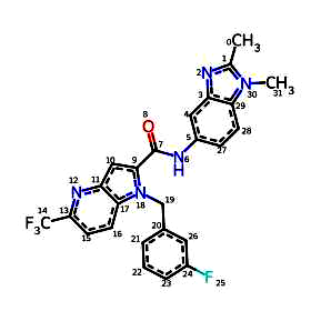 Cc1nc2cc(NC(=O)c3cc4nc(C(F)(F)F)ccc4n3Cc3cccc(F)c3)ccc2n1C